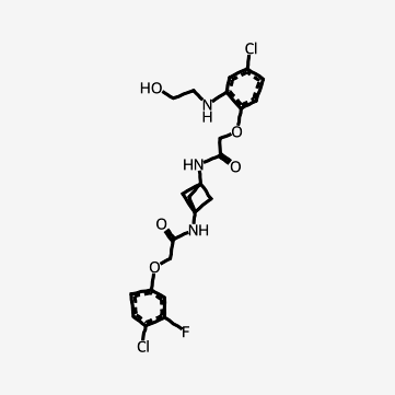 O=C(COc1ccc(Cl)c(F)c1)NC12CC(NC(=O)COc3ccc(Cl)cc3NCCO)(C1)C2